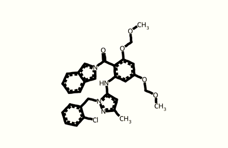 COCOc1cc(Nc2cc(C)nn2Cc2ccccc2Cl)c(C(=O)n2cc3ccccc3c2)c(OCOC)c1